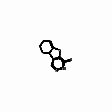 O=c1[nH]ncc2c1SC1=CCCCC12